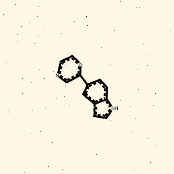 [c]1cnc(-c2ccc3[nH]ccc3c2)cn1